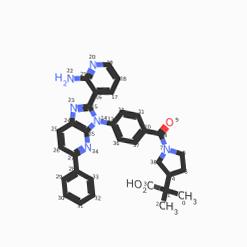 CC(C)(C(=O)O)C1CCN(C(=O)c2ccc(-n3c(-c4cccnc4N)nc4ccc(-c5ccccc5)nc43)cc2)C1